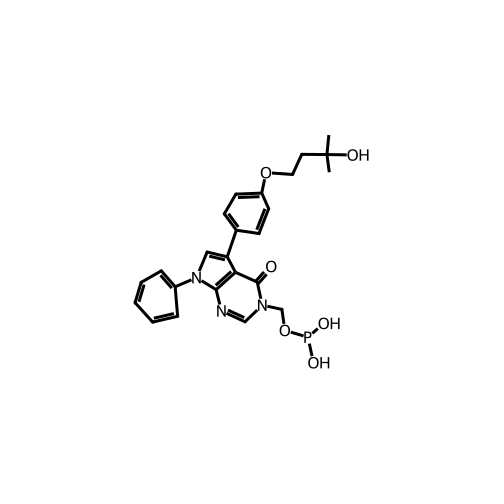 CC(C)(O)CCOc1ccc(-c2cn(-c3ccccc3)c3ncn(COP(O)O)c(=O)c23)cc1